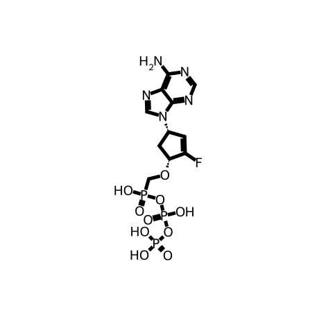 Nc1ncnc2c1ncn2[C@@H]1C=C(F)[C@H](OCP(=O)(O)OP(=O)(O)OP(=O)(O)O)C1